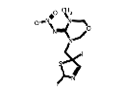 CN1COCN(CC2(I)C=NC(I)S2)C1=N[N+](=O)[O-]